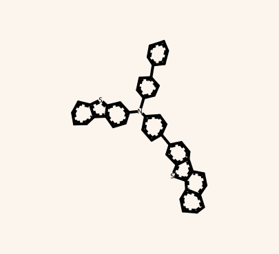 c1ccc(-c2ccc(N(c3ccc(-c4ccc5c(c4)sc4c6ccccc6ccc54)cc3)c3ccc4c(c3)sc3ccccc34)cc2)cc1